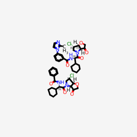 Cc1nccn1-c1cccc(C(=O)N[C@H](C(=O)N2C[C@H](Cl)[C@H]3OCC(=O)[C@H]32)C2CCCCC2)c1.O=C(N[C@H](C(=O)N1C[C@H](Cl)[C@H]2OCC(=O)[C@H]21)C1CCCCC1)c1ccccc1